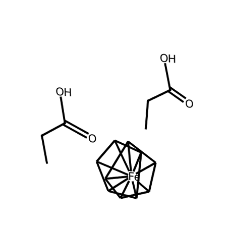 CCC(=O)O.CCC(=O)O.[CH]12[CH]3[CH]4[CH]5[CH]1[Fe]23451678[CH]2[CH]1[CH]6[CH]7[CH]28